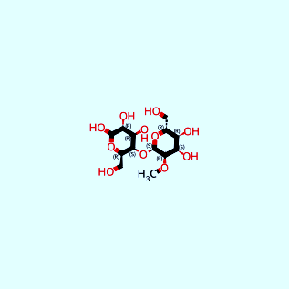 CO[C@H]1[C@H](O[C@H]2[C@H](O)[C@@H](O)C(O)O[C@@H]2CO)O[C@H](CO)[C@H](O)[C@@H]1O